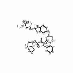 CC(C)CN(Cc1ccc2nc(NCC[N+](C)(C)[O-])sc2c1)CC(O)C(Cc1ccccc1)NC(=O)OC1COC2OCCC12